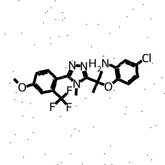 COc1ccc(-c2nnc(C(C)(C)Oc3ccc(Cl)cc3N)n2C)c(C(F)(F)F)c1